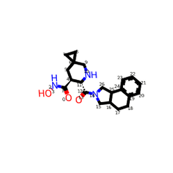 O=C(NO)[C@H]1CC2(CC2)CN[C@@H]1C(=O)N1CC2CCc3ccccc3C2C1